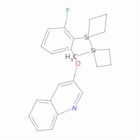 C[Si]1([Si]2(c3c(F)cccc3Oc3cnc4ccccc4c3)CCC2)CCC1